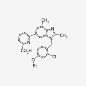 CCOc1ccc(Cn2c(C)nc3c(C)cc(-c4cccc(C(=O)O)n4)cc32)c(Cl)c1